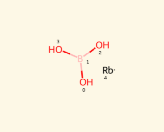 OB(O)O.[Rb]